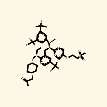 CCN(C[C@H]1CC[C@H](CC(C)=O)CC1)c1ncc(C(F)(F)F)cc1CN(c1ncc(OCCS(C)(=O)=O)cn1)[C@H](C)c1cc(C(F)(F)F)cc(C(F)(F)F)c1